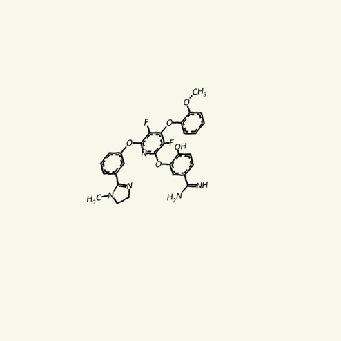 COc1ccccc1Oc1c(F)c(Oc2cccc(C3=NCCN3C)c2)nc(Oc2cc(C(=N)N)ccc2O)c1F